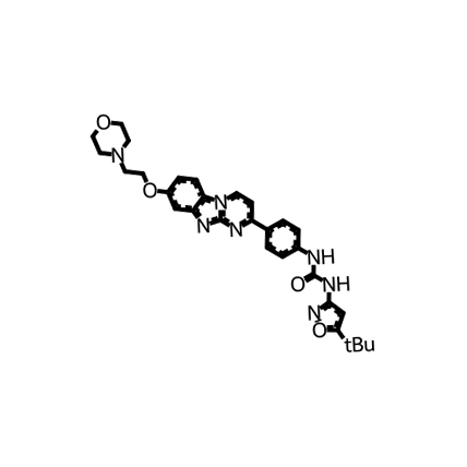 CC(C)(C)c1cc(NC(=O)Nc2ccc(-c3ccn4c(n3)nc3cc(OCCN5CCOCC5)ccc34)cc2)no1